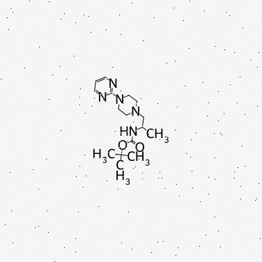 CC(CN1CCN(c2ncccn2)CC1)NC(=O)OC(C)(C)C